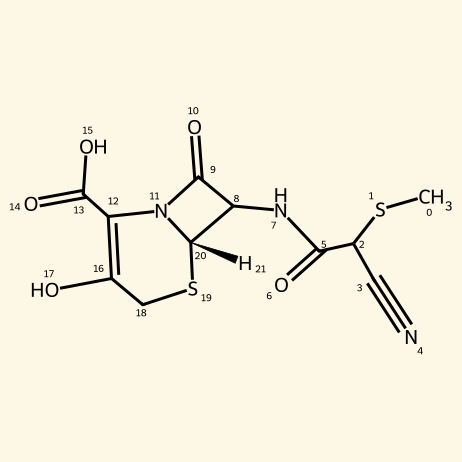 CSC(C#N)C(=O)NC1C(=O)N2C(C(=O)O)=C(O)CS[C@@H]12